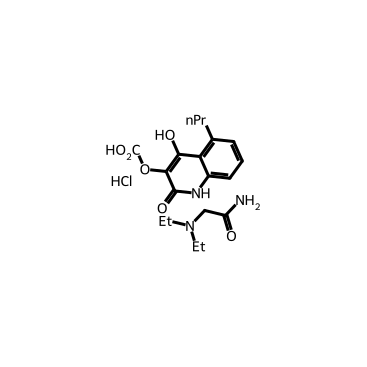 CCCc1cccc2[nH]c(=O)c(OC(=O)O)c(O)c12.CCN(CC)CC(N)=O.Cl